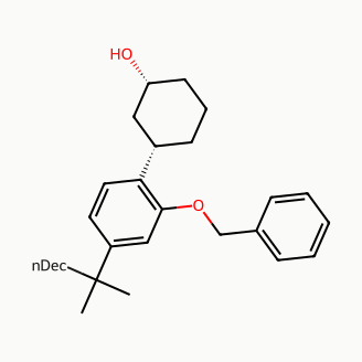 CCCCCCCCCCC(C)(C)c1ccc([C@H]2CCC[C@@H](O)C2)c(OCc2ccccc2)c1